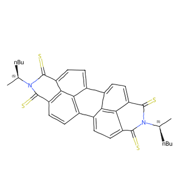 CCCC[C@H](C)N1C(=S)c2ccc3c4ccc5c6c(ccc(c7ccc(c2c37)C1=S)c64)C(=S)N([C@@H](C)CCCC)C5=S